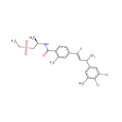 Cc1cc(C(/C=C(\F)c2ccc(C(=O)N[C@H](C)CS(=O)(=O)CC(F)(F)F)c(C(F)(F)F)c2)C(F)(F)F)cc(Cl)c1Cl